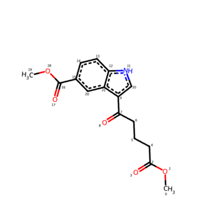 COC(=O)CCCC(=O)c1c[nH]c2ccc(C(=O)OC)cc12